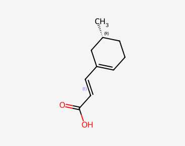 C[C@@H]1CCC=C(/C=C/C(=O)O)C1